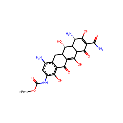 CCCCCOC(=O)Nc1cc(N)c2c(c1O)C(=O)C1=C(O)C3C(=O)C(C(N)=O)=C(O)[C@@H](N)C3[C@@H](O)C1C2